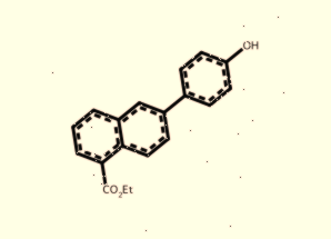 CCOC(=O)c1cccc2cc(-c3ccc(O)cc3)ccc12